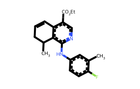 CCOC(=O)c1cnc(Nc2ccc(F)c(C)c2)c2c1C=CCC2C